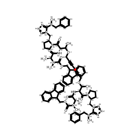 CC(OCC#CC#CCOC(C)[C@H](NC(=O)[C@H](C)N(C)C(=O)OCC1c2ccccc2-c2ccccc21)C(=O)N1CCC[C@H]1Cn1nnnc1N(C)Cc1ccccc1)[C@H](NC(=O)[C@H](C)N(C)C(=O)OCC1c2ccccc2-c2ccccc21)C(=O)N1CCC[C@H]1Cn1nnnc1N(C)Cc1ccccc1